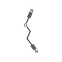 N#CCCOC#N